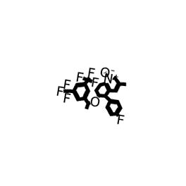 Cc1cc2c([n+]([O-])c1)CCC(OC(C)c1cc(C(F)(F)F)cc(C(F)(F)F)c1)C2c1ccc(F)cc1